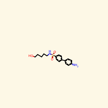 Nc1ccc(-c2ccc(S(=O)(=O)NCCCCCO)cc2)cc1